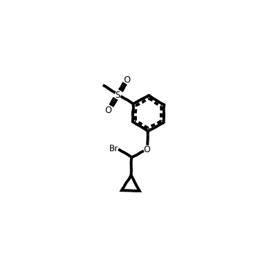 CS(=O)(=O)c1cccc(OC(Br)C2CC2)c1